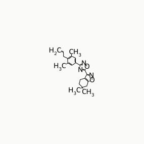 C=CCc1c(C)cc(-c2noc(-c3noc4c3CCC(C)(C)C4)n2)cc1C